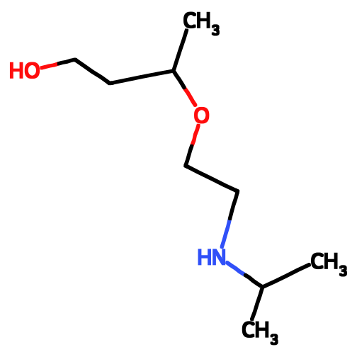 CC(C)NCCOC(C)CCO